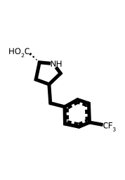 O=C(O)[C@H]1CC(Cc2ccc(C(F)(F)F)cc2)CN1